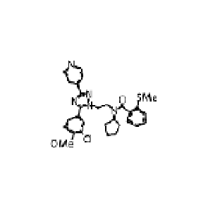 COc1ccc(-c2nc(-c3ccncc3)nn2CCN(C(=O)c2ccccc2SC)C2CCCC2)cc1Cl